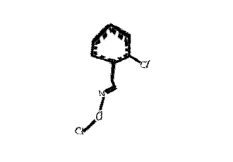 ClON=Cc1ccccc1Cl